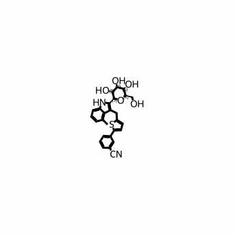 Cc1cccc2[nH]c([C@@H]3O[C@H](CO)[C@@H](O)[C@H](O)[C@H]3O)c(Cc3ccc(-c4cccc(C#N)c4)s3)c12